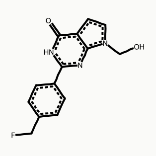 O=c1[nH]c(-c2ccc(CF)cc2)nc2c1ccn2CO